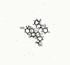 CC1(C)[C@@H](O)CC[C@]2(C)[C@H]3C(=O)C=C4[C@@H]5C[C@@](C)(C(=O)O)CC[C@]5(C)CC[C@@]4(C)[C@]3(C)CC[C@@H]12.Cc1cccc(C)c1NC(=O)C1CCCCN1C